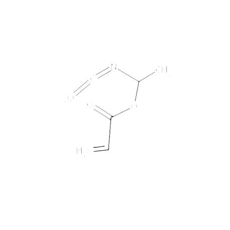 [CH2]C(N=C=O)OC(=O)C=C